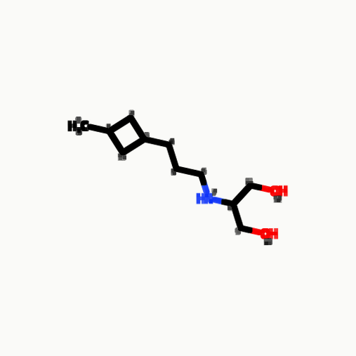 CC1CC(CCCNC(CO)CO)C1